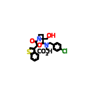 O=C(O)CN(Cc1ccc(Cl)cc1)C(=O)C1(CO)CCN1C(=O)Cc1csc2ccccc12